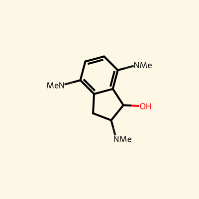 CNc1ccc(NC)c2c1CC(NC)C2O